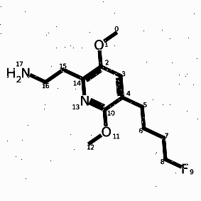 COc1cc(CCCCF)c(OC)nc1CCN